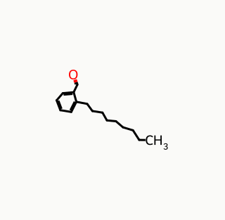 CCCCCCCCCc1ccccc1C=O